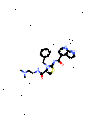 CN(C)CCNC(=O)c1cs/c(=N\C(=O)c2ccnc3[nH]ccc23)n1Cc1ccccc1